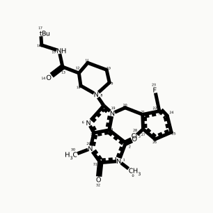 Cn1c(=O)c2c(nc(N3CCCC(C(=O)NCC(C)(C)C)C3)n2Cc2c(F)cccc2Cl)n(C)c1=O